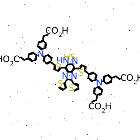 N=C1C(c2ccc(-c3ccc(N(c4ccc(CCC(=O)O)cc4)c4ccc(CCC(=O)O)cc4)cc3)s2)=c2nc(-c3cccs3)c(-c3cccs3)nc2=C(c2ccc(-c3ccc(N(c4ccc(CCC(=O)O)cc4)c4ccc(CCC(=O)O)cc4)cc3)s2)/C1=N/S